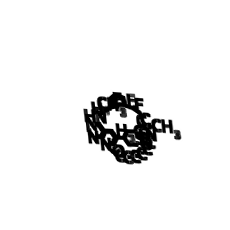 CC1CC2CC(C)N1CCCCCCCn1c(=O)c(C3CCS(=O)(=O)CC3)cc3c(ncnc31)N[C@H](C)c1cccc(c1F)C2(F)F